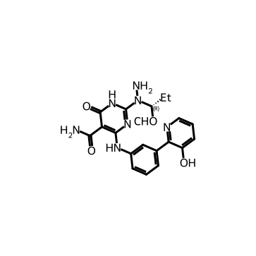 CC[C@H](C=O)N(N)c1nc(Nc2cccc(-c3ncccc3O)c2)c(C(N)=O)c(=O)[nH]1